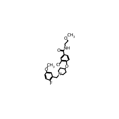 COCCNC(=O)c1ccc(OC2CCN(Cc3cc(OC)ccc3F)CC2)c(Cl)c1